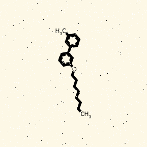 CCCCCCCCOc1cccc(-c2cccc(C)c2)c1